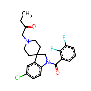 CCC(=O)CN1CCC2(CC1)CN(C(=O)c1cccc(F)c1F)c1ccc(Cl)cc12